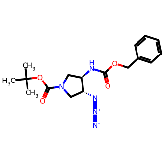 CC(C)(C)OC(=O)N1C[C@@H](N=[N+]=[N-])[C@H](NC(=O)OCc2ccccc2)C1